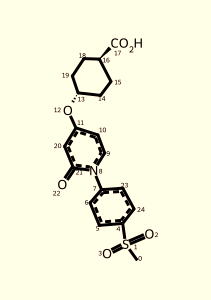 CS(=O)(=O)c1ccc(-n2ccc(O[C@H]3CC[C@H](C(=O)O)CC3)cc2=O)cc1